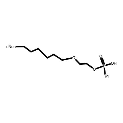 CCCCCCCCCCCCCCCOCCOP(=O)(O)C(C)C